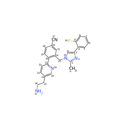 Cc1nc(-c2ccccc2F)cn1Cc1cc(C#N)ccc1-c1ccc(CCN)cn1